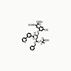 COC(=O)C(=Cc1ccc(C#N)cc1OC[C@@H](CCC(=O)OCc1ccccc1)NC(=O)c1cccc(-c2cccnc2)c1)NC(C)=O.O=C(O)C(F)(F)F